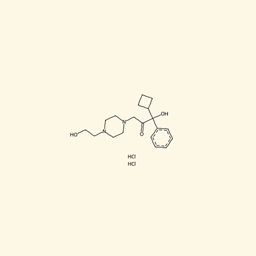 Cl.Cl.O=C(CN1CCN(CCO)CC1)C(O)(c1ccccc1)C1CCC1